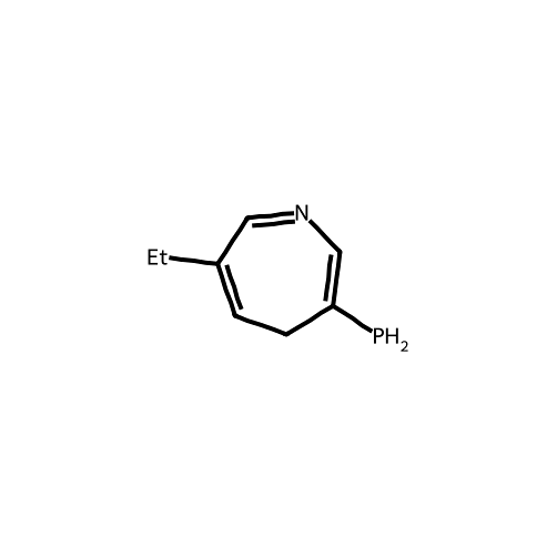 CCC1=CCC(P)=CN=C1